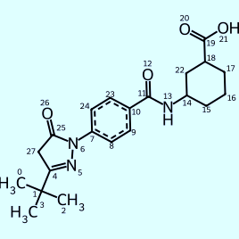 CC(C)(C)C1=NN(c2ccc(C(=O)NC3CCCC(C(=O)O)C3)cc2)C(=O)C1